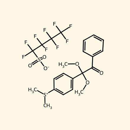 COC(OC)(C(=O)c1ccccc1)c1ccc([S+](C)C)cc1.O=S(=O)([O-])C(F)(F)C(F)(F)C(F)(F)C(F)(F)F